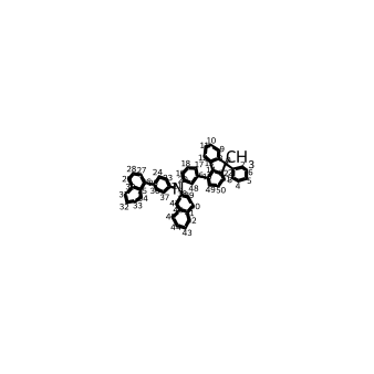 CC1(c2ccccc2)c2ccccc2-c2c(-c3cccc(N(c4ccc(-c5cccc6ccccc56)cc4)c4ccc5ccccc5c4)c3)cccc21